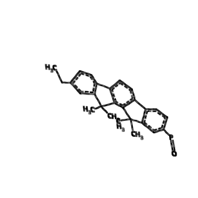 CCc1ccc2c(c1)C(C)(C)c1c-2ccc2c1C(C)(C)c1cc(P=O)ccc1-2